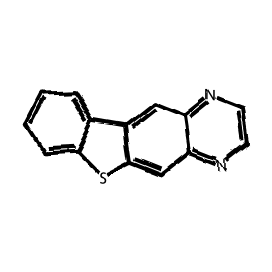 c1ccc2c(c1)sc1cc3nccnc3cc12